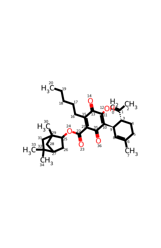 C=C(C)[C@@H]1CCC(C)=C[C@H]1C1=C(O)C(=O)C(CCCCC)=C(C(=O)OC2CC3CC2(C)CC3(C)C)C1=O